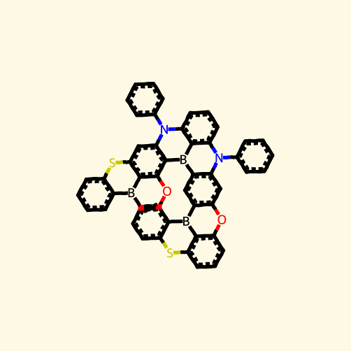 c1ccc(N2c3cc4c(cc3B3c5c2cccc5N(c2ccccc2)c2cc5c6c(c23)Oc2ccccc2B6c2ccccc2S5)B2c3ccccc3Sc3cccc(c32)O4)cc1